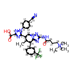 Cc1c(-c2nc(C(=O)O)nn2-c2ccc(C#N)cc2)cn2nc(NC(=O)CCC[N+](C)(C)C)nc2c1-c1cccc(C(F)(F)F)c1